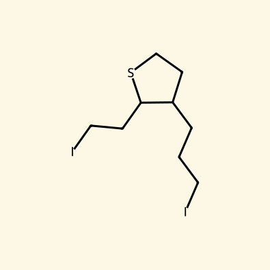 ICCCC1CCSC1CCI